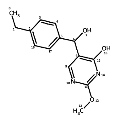 CCc1ccc(C(O)c2cnc(OC)nc2O)cc1